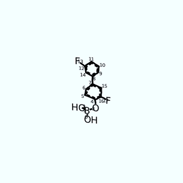 OB(O)Oc1ccc(-c2cccc(F)c2)cc1F